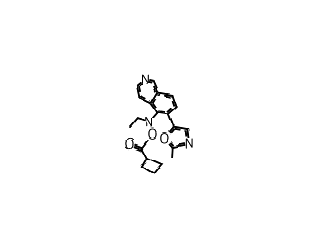 CCN(OC(=O)C1CCC1)c1c(-c2cnc(C)o2)ccc2cnccc12